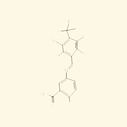 O=C(O)c1cc(N=Cc2c(F)c(F)c(C(F)(F)F)c(F)c2F)ccc1O